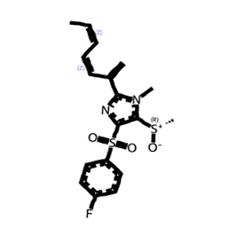 C=C(/C=C\C=C/C)c1nc(S(=O)(=O)c2ccc(F)cc2)c([S@+](C)[O-])n1C